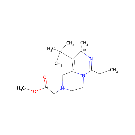 CCC1=N[C@@H](C)C(C(C)(C)C)=C2CN(CC(=O)OC)CCN12